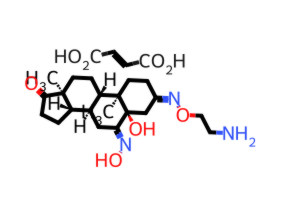 C[C@]12CC[C@H]3[C@@H](C/C(=N\O)[C@@]4(O)C/C(=N\OCCN)CC[C@]34C)[C@@H]1CCC2=O.O=C(O)/C=C/C(=O)O